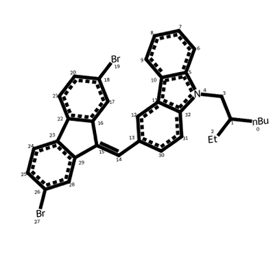 CCCCC(CC)Cn1c2ccccc2c2cc(C=C3c4cc(Br)ccc4-c4ccc(Br)cc43)ccc21